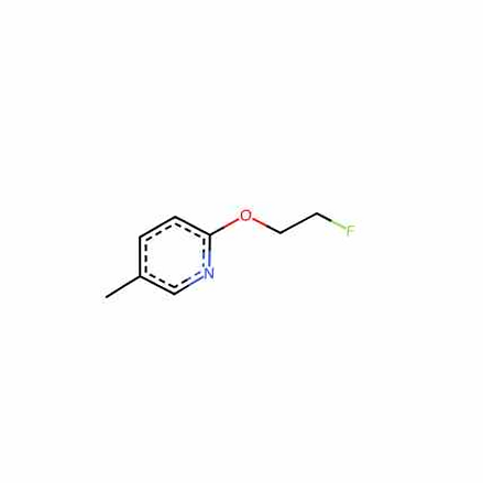 Cc1ccc(OCCF)nc1